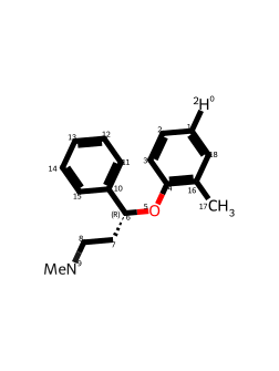 [2H]c1ccc(O[C@H](CCNC)c2ccccc2)c(C)c1